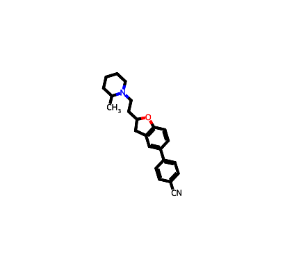 CC1CCCCN1CCC1Cc2cc(-c3ccc(C#N)cc3)ccc2O1